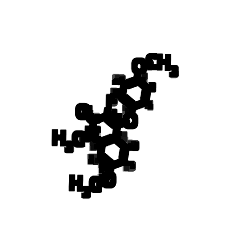 COc1ccc(Oc2c(I)c(=O)n(C)c3cc(OC)ccc23)cc1